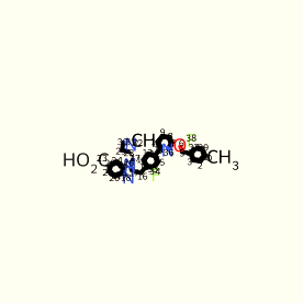 Cc1ccc(COc2cccc(-c3ccc(Cc4nc5ccc(C(=O)O)cc5n4C[C@@H]4CCN4C)c(F)c3)n2)c(F)c1